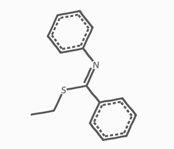 CCSC(=Nc1ccccc1)c1ccccc1